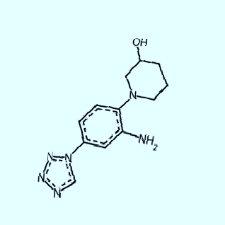 Nc1cc(-n2cnnn2)ccc1N1CCCC(O)C1